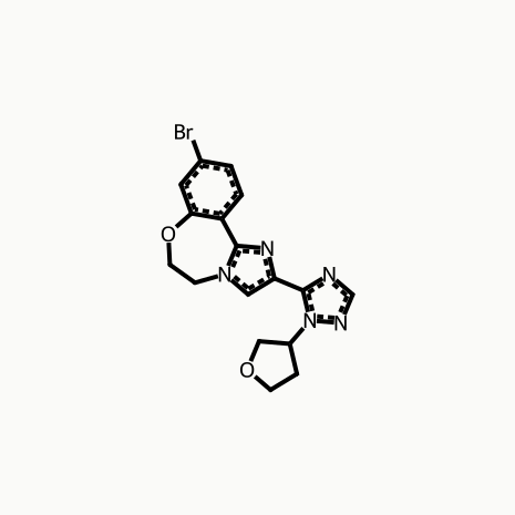 Brc1ccc2c(c1)OCCn1cc(-c3ncnn3C3CCOC3)nc1-2